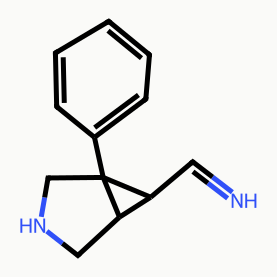 N=CC1C2CNCC12c1ccccc1